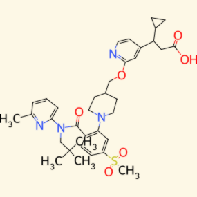 Cc1cccc(N(CC(C)(C)C)C(=O)c2ccc(S(C)(=O)=O)cc2N2CCC(COc3cc(C(CC(=O)O)C4CC4)ccn3)CC2)n1